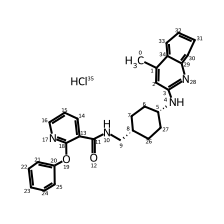 Cc1cc(N[C@H]2CC[C@@H](CNC(=O)c3cccnc3Oc3ccccc3)CC2)nc2ccccc12.Cl